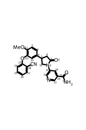 COc1ccc(C2CC(=O)N(c3cncc(C(N)=O)c3)C2)cc1Oc1ccccc1C#N